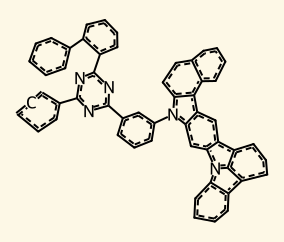 c1ccc(-c2nc(-c3cccc(-n4c5cc6c(cc5c5c7ccccc7ccc54)c4cccc5c7ccccc7n6c54)c3)nc(-c3ccccc3-c3ccccc3)n2)cc1